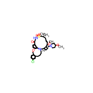 COC1CCN(C[C@]2(OC)/C=C/C[C@H](C)[C@@H](C)S(=O)(=O)NCC(=O)c3ccc4c(c3)N(CCCCc3cc(Cl)ccc3CO4)C[C@@H]3CC[C@H]32)CC1